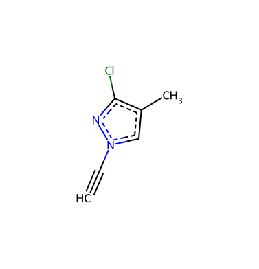 C#Cn1cc(C)c(Cl)n1